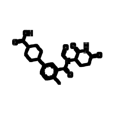 Cc1ccc(C2CCC(C(=O)O)CC2)cc1C(=O)N(C=O)C1CCC(=O)NC1=O